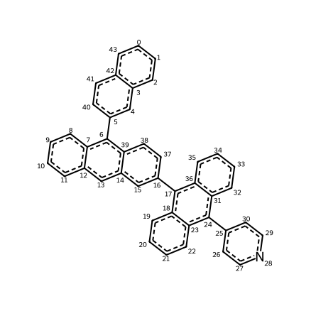 c1ccc2cc(-c3c4ccccc4cc4cc(-c5c6ccccc6c(-c6ccncc6)c6ccccc56)ccc34)ccc2c1